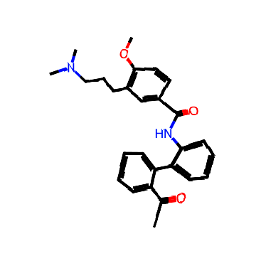 COc1ccc(C(=O)Nc2ccccc2-c2ccccc2C(C)=O)cc1CCCN(C)C